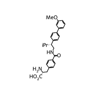 COc1cccc(-c2ccc([C@H](CNC(=O)c3ccc(C[C@@H](N)C(=O)O)cc3)C(C)C)cc2)c1